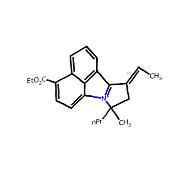 C/C=C1\CC(C)(CCC)[N+]2=C1c1cccc3c(C(=O)OCC)ccc2c13